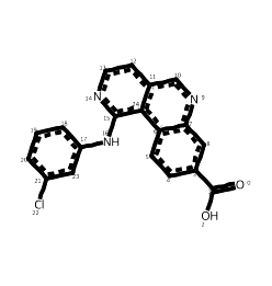 O=C(O)c1ccc2c(c1)ncc1ccnc(Nc3cccc(Cl)c3)c12